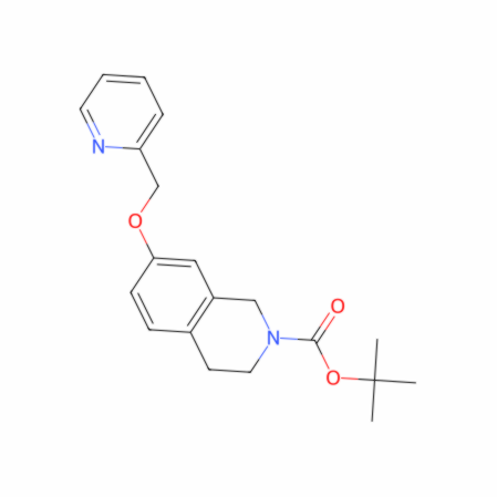 CC(C)(C)OC(=O)N1CCc2ccc(OCc3ccccn3)cc2C1